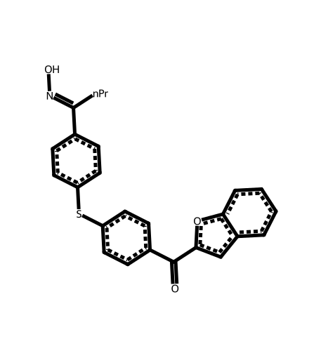 CCC/C(=N\O)c1ccc(Sc2ccc(C(=O)c3cc4ccccc4o3)cc2)cc1